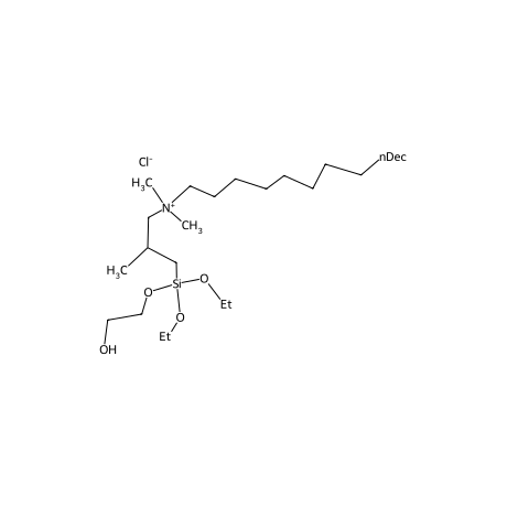 CCCCCCCCCCCCCCCCCC[N+](C)(C)CC(C)C[Si](OCC)(OCC)OCCO.[Cl-]